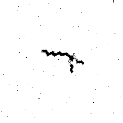 CCCCCCCCC(SCCC)SCCC